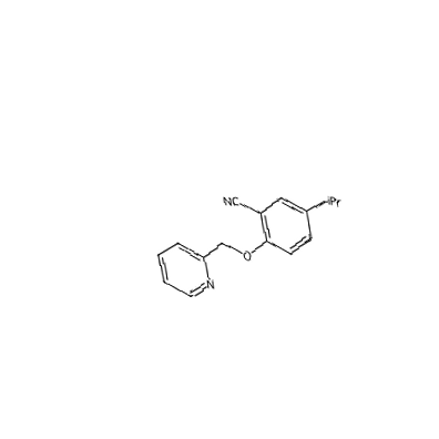 CC(C)c1ccc(OCc2ccccn2)c(C#N)c1